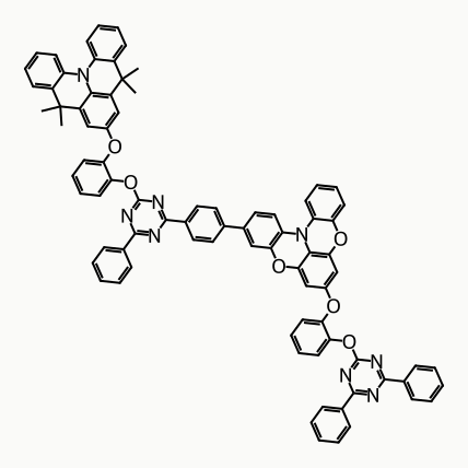 CC1(C)c2ccccc2N2c3ccccc3C(C)(C)c3cc(Oc4ccccc4Oc4nc(-c5ccccc5)nc(-c5ccc(-c6ccc7c(c6)Oc6cc(Oc8ccccc8Oc8nc(-c9ccccc9)nc(-c9ccccc9)n8)cc8c6N7c6ccccc6O8)cc5)n4)cc1c32